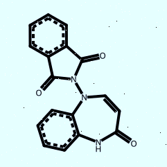 O=C1C=CN(N2C(=O)c3ccccc3C2=O)c2ccccc2N1